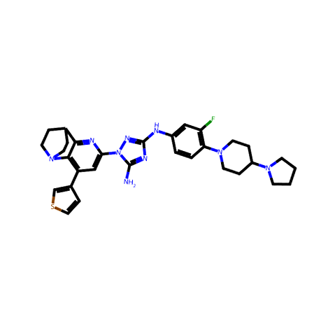 Nc1nc(Nc2ccc(N3CCC(N4CCCC4)CC3)c(F)c2)nn1-c1cc(-c2ccsc2)c2c(n1)C1CCN2CC1